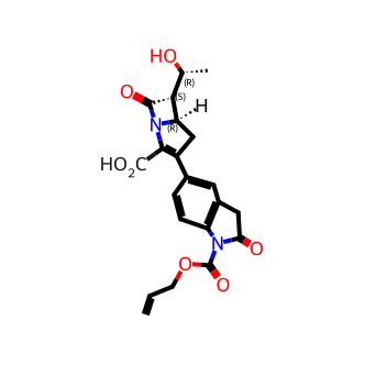 C=CCOC(=O)N1C(=O)Cc2cc(C3=C(C(=O)O)N4C(=O)[C@H]([C@@H](C)O)[C@H]4C3)ccc21